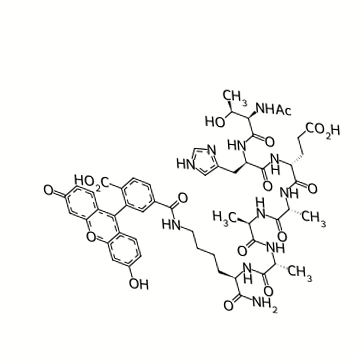 CC(=O)N[C@@H](C(=O)N[C@H](Cc1c[nH]cn1)C(=O)N[C@H](CCC(=O)O)C(=O)N[C@H](C)C(=O)N[C@H](C)C(=O)N[C@H](C)C(=O)N[C@H](CCCCNC(=O)c1ccc(C(=O)O)c(-c2c3ccc(=O)cc-3oc3cc(O)ccc23)c1)C(N)=O)[C@H](C)O